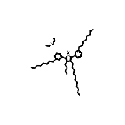 CCCCCCCCCCCC1=C(c2cccc(CCCCCCCC)c2)[N+](=[N-])C(c2cccc(CCCCCCCC)c2)=C1CCCC.C[CH2][Pd][CH2]C